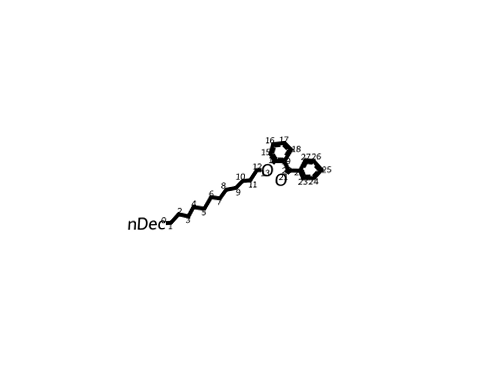 CCCCCCCCCCCCCCCCCCCCCCOc1ccccc1C(=O)c1ccccc1